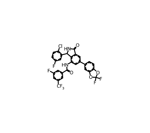 O=C(Nc1cc(-c2ccc3c(c2)OC(F)(F)O3)cc2c1C(c1cc(F)ccc1Cl)NC2=O)c1cc(F)cc(C(F)(F)F)c1